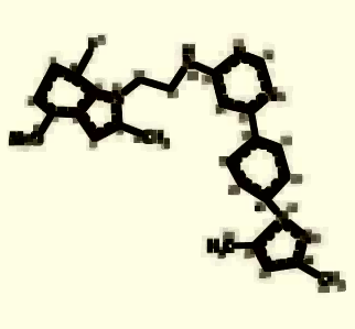 COc1ccc(F)c2c1cc(C)n2CCNc1cc(-c2ccc(-n3nc(C)cc3C)cc2)ncn1